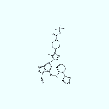 Cc1c(-c2cc(OC(C)c3ccccc3-c3ccsn3)n3c(C#N)cnc3c2)nnn1C1CCN(C(=O)OC(C)(C)C)CC1